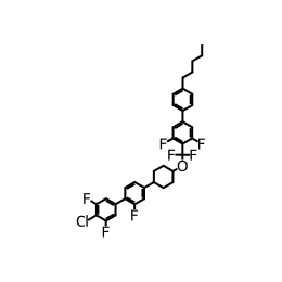 CCCCCc1ccc(-c2cc(F)c(C(F)(F)OC3CCC(c4ccc(-c5cc(F)c(Cl)c(F)c5)c(F)c4)CC3)c(F)c2)cc1